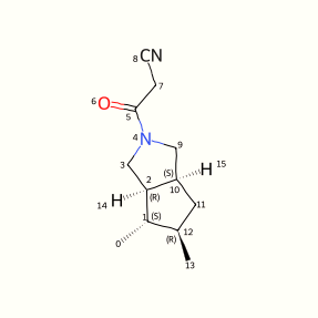 C[C@@H]1[C@H]2CN(C(=O)CC#N)C[C@H]2C[C@H]1C